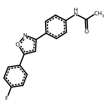 CC(=O)Nc1ccc(-c2cc(-c3ccc(F)cc3)on2)cc1